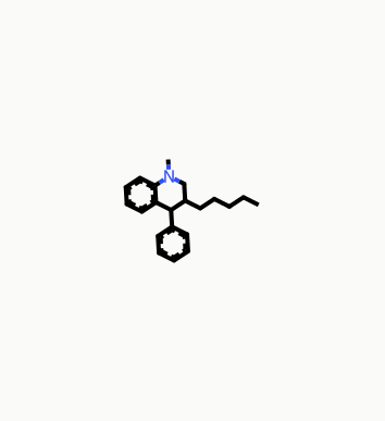 CCCCCC1CN(C)c2ccccc2C1c1ccccc1